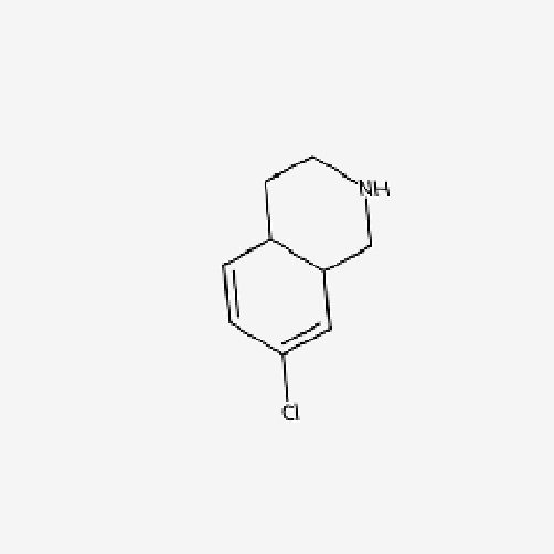 ClC1=CC2CNCCC2C=C1